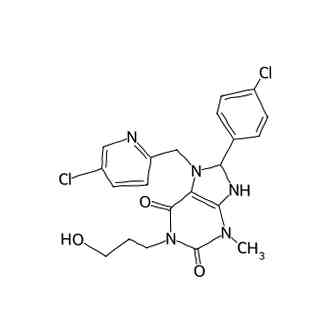 Cn1c2c(c(=O)n(CCCO)c1=O)N(Cc1ccc(Cl)cn1)C(c1ccc(Cl)cc1)N2